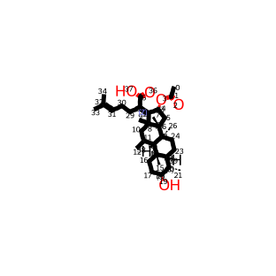 CC(=O)O[C@H]1C[C@@]2(C)C(C)(CC(C)[C@H]3[C@@]4(C)CC[C@@H](O)[C@@H](C)[C@@H]4CC[C@@]32C)/C1=C(\CCC=C(C)C)C(=O)O